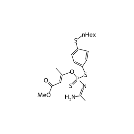 CCCCCCSc1ccc(SP(=S)(N=C(C)N)OC(C)=CC(=O)OC)cc1